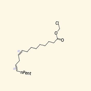 CCCCC/C=C\C/C=C\CCCCCCCC(=O)OCCl